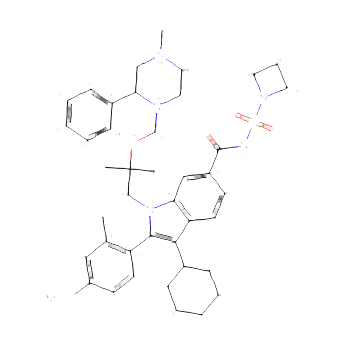 COc1ccc(-c2c(C3CCCCC3)c3ccc(C(=O)NS(=O)(=O)N4CCC4)cc3n2CC(C)(C)OCN2CCN(C)CC2c2ccccc2)c(C)c1